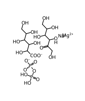 O=C(CO)C(O)C(O)C(O)CO.O=C([O-])C(O)C(O)C(O)C(O)CO.O=P([O-])([O-])OP(=O)(O)O.[Mg+2].[Na+]